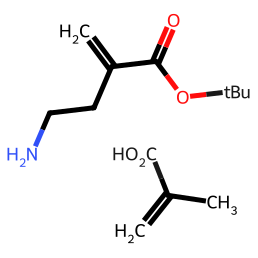 C=C(C)C(=O)O.C=C(CCN)C(=O)OC(C)(C)C